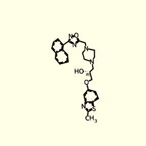 Cc1nc2cc(OC[C@H](O)CN3CCN(Cc4nc(-c5cccc6ccccc56)no4)CC3)ccc2s1